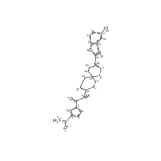 C[S+]([O-])c1ccc(C(=O)NC2CCC3(CC2)CCN(c2nc4cc(Cl)ccc4o2)CC3)o1